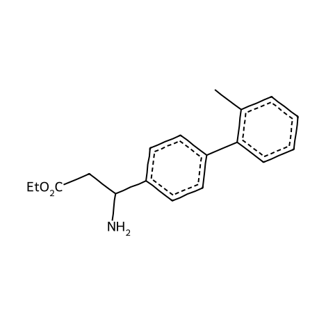 CCOC(=O)CC(N)c1ccc(-c2ccccc2C)cc1